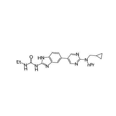 CCCN(CC1CC1)c1ncc(-c2ccc3[nH]c(NC(=O)NCC)nc3c2)cn1